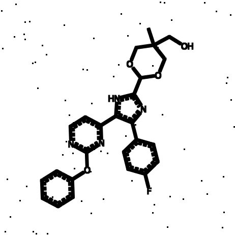 CC1(CO)COC(c2nc(-c3ccc(F)cc3)c(-c3ccnc(Oc4ccccc4)n3)[nH]2)OC1